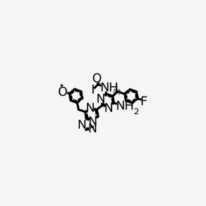 COc1cccc(Cc2nc(-c3nc(N)c([C@H](C)c4ccc(F)cc4)c(NC(=O)I)n3)cn3ncnc23)c1